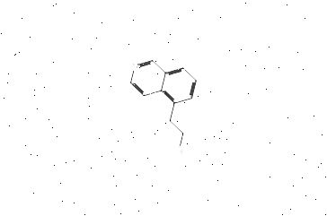 BrCCc1cccc2cnccc12